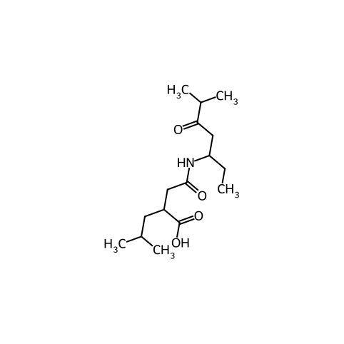 CCC(CC(=O)C(C)C)NC(=O)CC(CC(C)C)C(=O)O